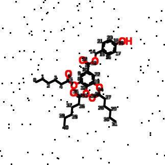 CCCCCC(=O)Oc1cc(C(=O)OCc2ccc(O)cc2)cc(OC(=O)CCCCC)c1OC(=O)CCCCC